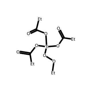 CCO[O][Ti]([O]C(=O)CC)([O]C(=O)CC)[O]C(=O)CC